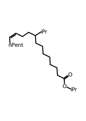 CCCCC/C=C\CCC(CCCCCCCC(=O)OC(C)C)C(C)C